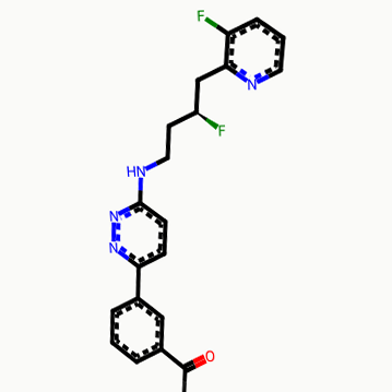 CNC(=O)c1cccc(-c2ccc(NCC[C@H](F)Cc3ncccc3F)nn2)c1